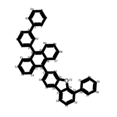 c1ccc(-c2cccc(-c3c4ccccc4c(-c4ccc5c(c4)oc4c(-c6ccccc6)cccc45)c4ccccc34)c2)cc1